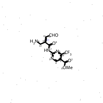 COC(=O)c1cnc(NC(=O)/C(=C\C=O)CN)nc1C(F)(F)F